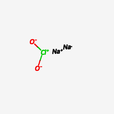 [Na+].[Na].[O-][Cl+][O-]